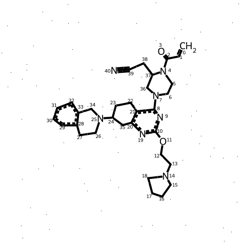 C=CC(=O)N1CCN(c2nc(OCCN3CCCC3)nc3c2CCC(N2CCc4ccccc4C2)C3)CC1CC#N